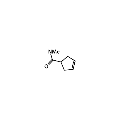 CNC(=O)C1CC=CC1